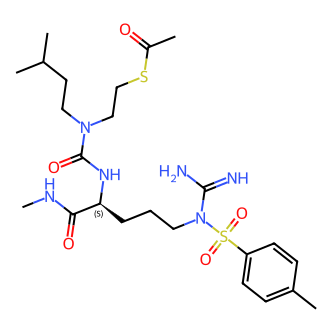 CNC(=O)[C@H](CCCN(C(=N)N)S(=O)(=O)c1ccc(C)cc1)NC(=O)N(CCSC(C)=O)CCC(C)C